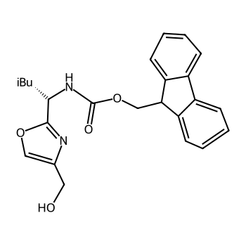 CC[C@@H](C)C(NC(=O)OCC1c2ccccc2-c2ccccc21)c1nc(CO)co1